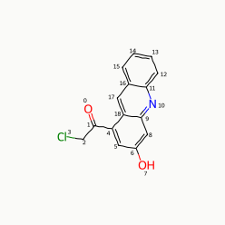 O=C(CCl)c1cc(O)cc2nc3ccccc3cc12